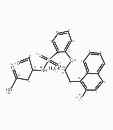 Cc1ccc2ccccc2c1C[C@H](C)Oc1ccccc1S(=O)(=O)NC(C=O)CC(=O)O